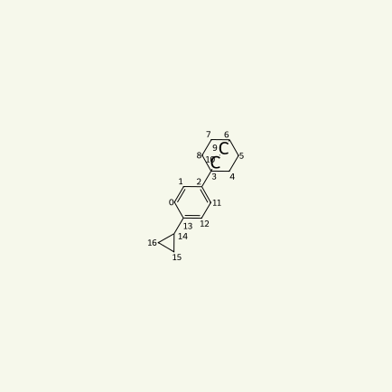 c1cc(C23CCC(CC2)CC3)ccc1C1CC1